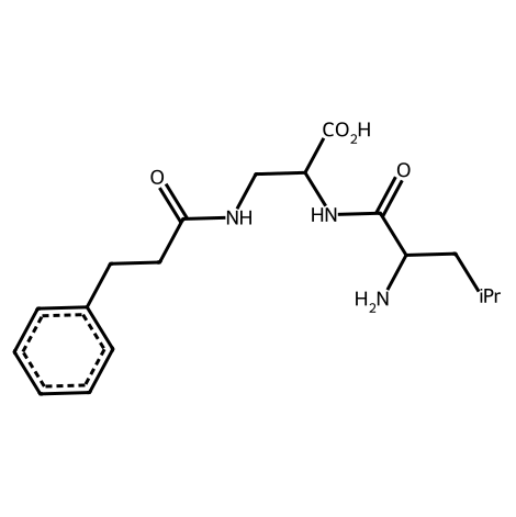 CC(C)CC(N)C(=O)NC(CNC(=O)CCc1ccccc1)C(=O)O